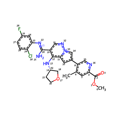 COC(=O)c1cc(C)c(-c2cc3c(N[C@H]4CCOC4)c(/C(N)=N/c4cc(F)ccc4Cl)cnn3c2)cn1